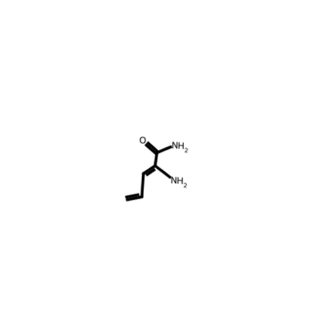 C=C/C=C(\N)C(N)=O